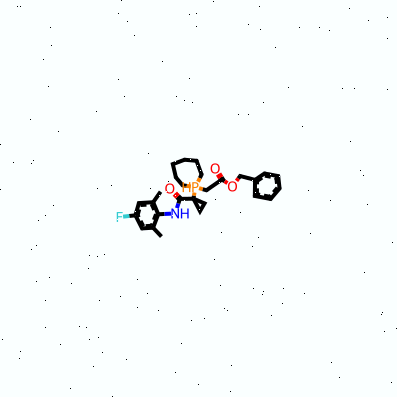 Cc1cc(F)cc(C)c1NC(=O)C1([PH]2(CC(=O)OCc3ccccc3)CCCCCC2)CC1